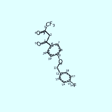 O=C(CC(=O)C(F)(F)F)c1ccc(OCc2ccc(F)cc2)cc1